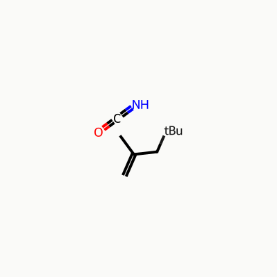 C=C(C)CC(C)(C)C.N=C=O